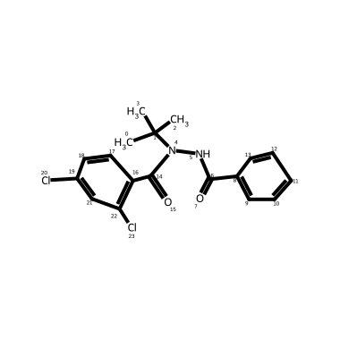 CC(C)(C)N(NC(=O)c1ccccc1)C(=O)c1ccc(Cl)cc1Cl